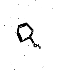 CB1C=CC=CC1